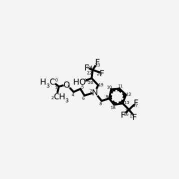 CC(C)OCCCN(Cc1cccc(C(F)(F)F)c1)CC(O)C(F)(F)F